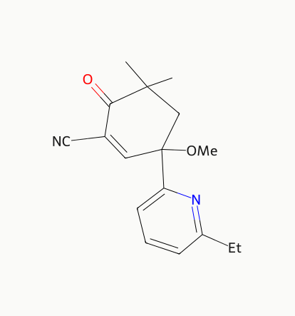 CCc1cccc(C2(OC)C=C(C#N)C(=O)C(C)(C)C2)n1